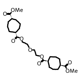 COC(=O)[C@H]1CCC[C@@H](C(=O)OCCOCCOC(=O)[C@H]2CCC[C@@H](C(=O)OC)CCC2)CCC1